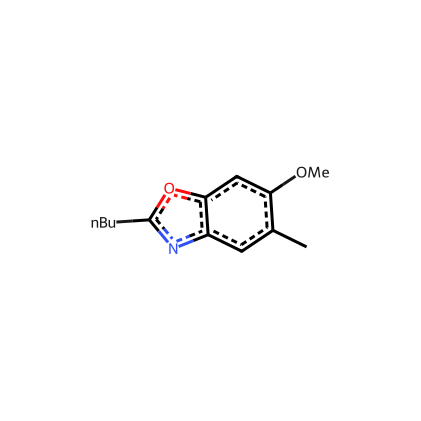 CCCCc1nc2cc(C)c(OC)cc2o1